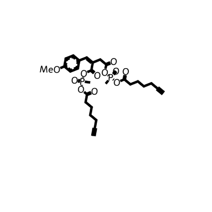 C#CCCCCC(=O)OP(C)(=O)OC(=O)CC(=Cc1ccc(OC)cc1)C(=O)OP(C)(=O)OC(=O)CCCCC#C